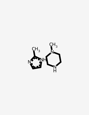 CN1CCNCC1.Cc1ncc[nH]1